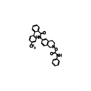 O=C(Nc1ccccc1)ON1CCc2cc(NC(=O)c3ccccc3-c3ccc(C(F)(F)F)cc3)ccc2C1